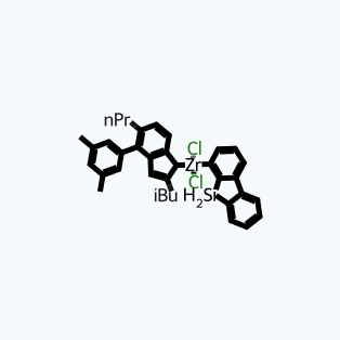 CCCc1ccc2c(c1-c1cc(C)cc(C)c1)C=C(C(C)CC)[CH]2[Zr]([Cl])([Cl])[c]1cccc2c1[SiH2]c1ccccc1-2